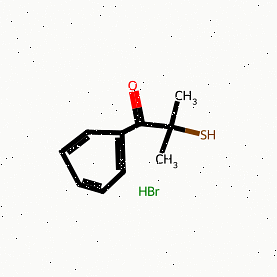 Br.CC(C)(S)C(=O)c1ccccc1